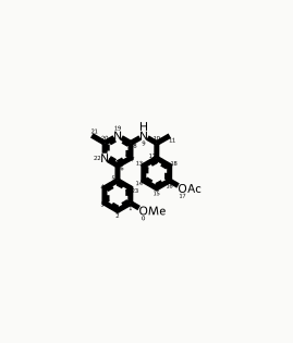 COc1cccc(-c2cc(NC(C)c3cccc(OC(C)=O)c3)nc(C)n2)c1